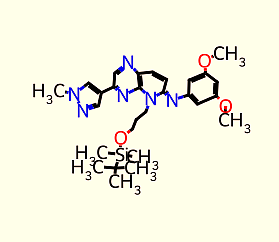 COc1cc(/N=c2\ccc3ncc(-c4cnn(C)c4)nc3n2CCCO[Si](C)(C)C(C)(C)C)cc(OC)c1